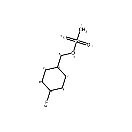 CS(=O)(=O)OCC1CCC(F)CC1